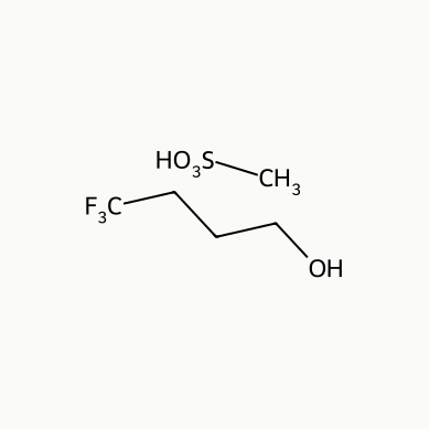 CS(=O)(=O)O.OCCCC(F)(F)F